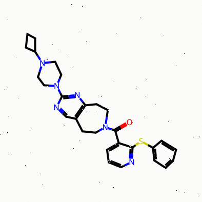 O=C(c1cccnc1Sc1ccccc1)N1CCc2cnc(N3CCN(C4CCC4)CC3)nc2CC1